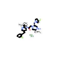 C[C@@H]1CN(CC(=O)N2CC(C)(C)c3ncc(Cc4ccccc4F)cc32)[C@@H](CN2CC[C@@H](F)C2)CN1.Cl.Cl